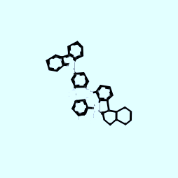 CC12CCC3CCCCC3C1c1cccc3c1N2c1cccc2c1B3c1ccc(-n3c4ccccc4c4ccccc43)cc1O2